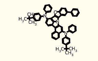 CC(C)(C)c1ccc(N(c2ccccc2)c2cc3c(c4ccccc24)c2ccc(N(c4ccccc4)c4ccc(C(C)(C)C)cc4)c4c5oc6ccc(-c7ccccc7)cc6c5n3c24)cc1